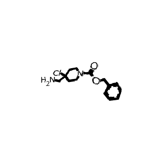 NCC1(Cl)CCN(C(=O)OCc2ccccc2)CC1